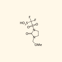 COCN1CCN(S(=O)(=O)C(F)(F)S(=O)(=O)O)C1=O